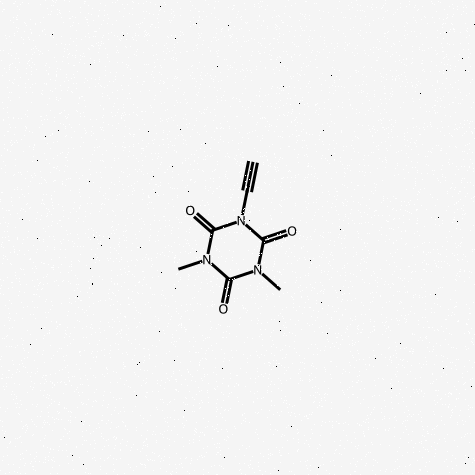 C#Cn1c(=O)n(C)c(=O)n(C)c1=O